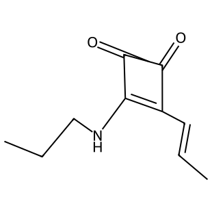 C/C=C/c1c(NCCC)c(=O)c1=O